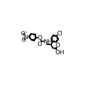 O=C(O)CC(CNC(=O)Oc1ccc([N+](=O)[O-])cc1)c1ccc(Cl)cc1